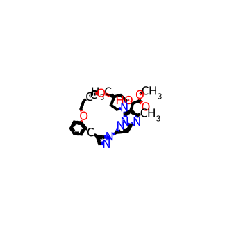 COC(=O)[C@@H](O)c1c(C)nc2cc3nn2c1N1CCC(C)(CC1)OCCCCOc1ccccc1Cc1cnn-3c1